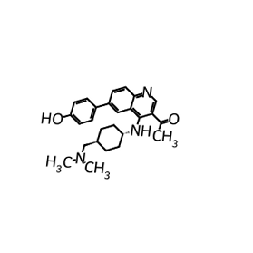 CC(=O)c1cnc2ccc(-c3ccc(O)cc3)cc2c1N[C@H]1CC[C@H](CN(C)C)CC1